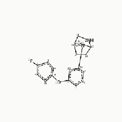 Fc1ccc(Oc2cncc(N3CC4CCC(C3)NC4)c2)cc1